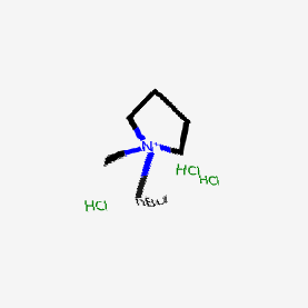 CCCC[N+]1(C)CCCC1.Cl.Cl.Cl